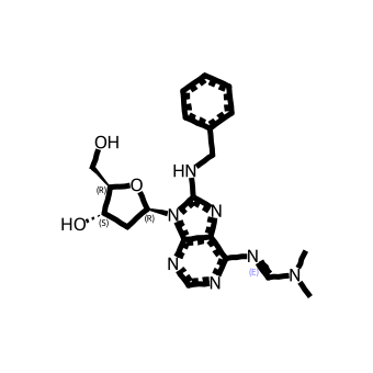 CN(C)/C=N/c1ncnc2c1nc(NCc1ccccc1)n2[C@H]1C[C@H](O)[C@@H](CO)O1